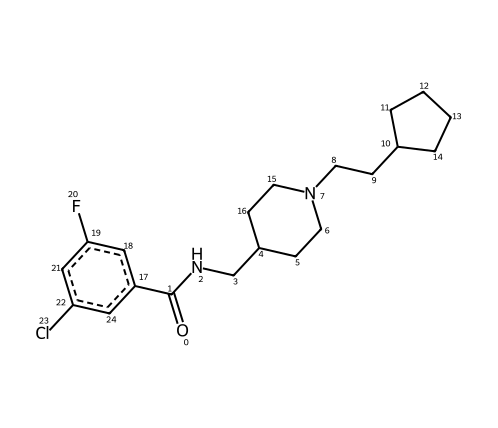 O=C(NCC1CCN(CCC2CCCC2)CC1)c1cc(F)cc(Cl)c1